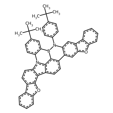 CC(C)(C)c1ccc(N2B3c4cc(C(C)(C)C)ccc4-n4c5ccc6c7ccccc7oc6c5c5ccc(c3c54)-c3cc4oc5ccccc5c4cc32)cc1